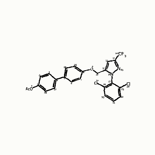 CC(=O)Oc1ccc(-c2ccc(OCc3cc(C(F)(F)F)nn3-c3c(Cl)cccc3Cl)cc2)cc1